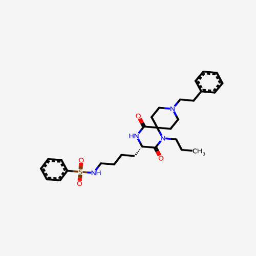 CCCN1C(=O)[C@H](CCCCNS(=O)(=O)c2ccccc2)NC(=O)C12CCN(CCc1ccccc1)CC2